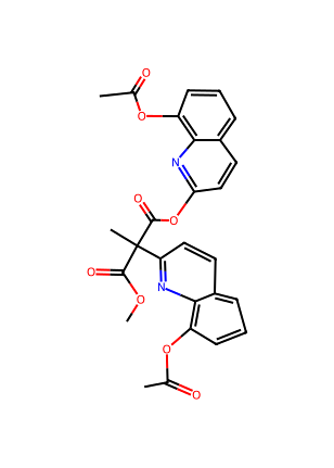 COC(=O)C(C)(C(=O)Oc1ccc2cccc(OC(C)=O)c2n1)c1ccc2cccc(OC(C)=O)c2n1